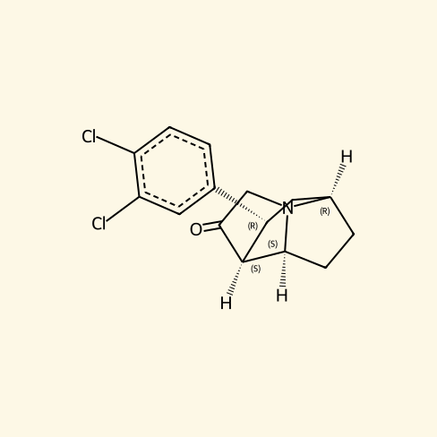 O=C1CN2[C@@H]3CC[C@H]2[C@@H]1[C@H](c1ccc(Cl)c(Cl)c1)C3